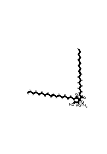 CCCCCCCCC=CCCCCCCCC(=O)C(OP)(C(=O)CCCCCCCC=CCCCCCCCC)C(O)CO